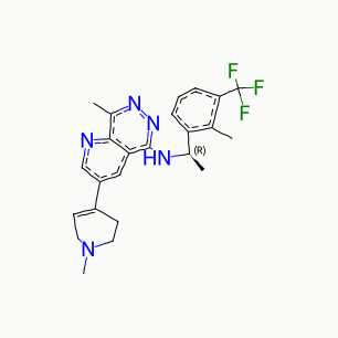 Cc1c([C@@H](C)Nc2nnc(C)c3ncc(C4=CCN(C)CC4)cc23)cccc1C(F)(F)F